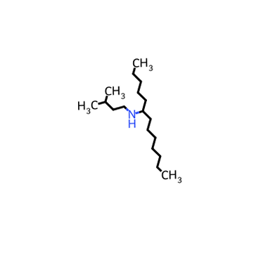 CCCCCCCC(CCCCC)NCCC(C)C